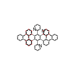 c1ccc(-c2ccccc2-c2c(-c3ccccn3)c(-c3ccccn3)c(-c3cccc4c5ccccc5c5ccccc5c34)c(-c3ccccn3)c2-c2cccc3c4ccccc4c4ccccc4c23)cc1